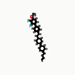 C=CCCC1CCC(C2CCC(CCc3ccc(-c4ccc(OCC)c(F)c4F)cc3)CC2)CC1